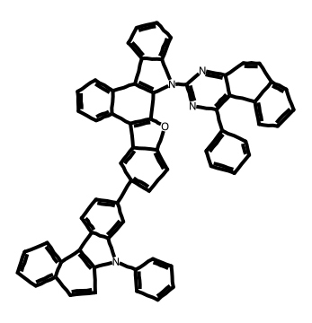 c1ccc(-c2nc(-n3c4ccccc4c4c5ccccc5c5c6cc(-c7ccc8c9c%10ccccc%10ccc9n(-c9ccccc9)c8c7)ccc6oc5c43)nc3ccc4ccccc4c23)cc1